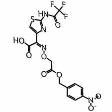 O=C(CON=C(C(=O)O)c1csc(NC(=O)C(F)(F)F)n1)OCc1ccc([N+](=O)[O-])cc1